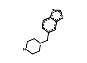 c1nc2ccc(CN3CCNCC3)cc2s1